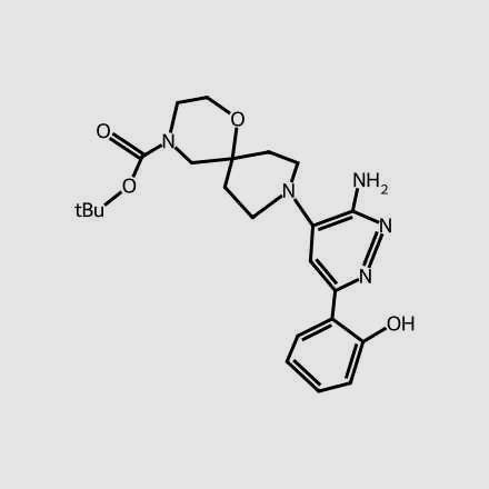 CC(C)(C)OC(=O)N1CCOC2(CCN(c3cc(-c4ccccc4O)nnc3N)CC2)C1